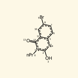 CCCn1c(O)nc2ccc(Br)cc2c1=O